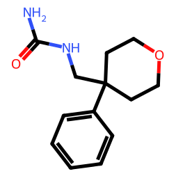 NC(=O)NCC1(c2ccccc2)CCOCC1